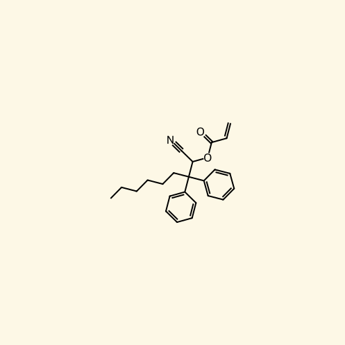 C=CC(=O)OC(C#N)C(CCCCCC)(c1ccccc1)c1ccccc1